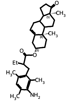 CCC(Cc1c(C)cc(C)c(N)c1C)C(=O)O[C@H]1CC[C@@]2(C)C(=CCC3C2CC[C@]2(C)C(=O)CCC32)C1